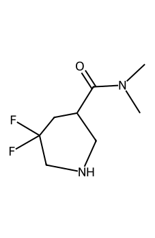 CN(C)C(=O)C1CNCC(F)(F)C1